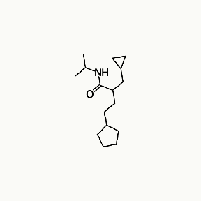 CC(C)NC(=O)C(CCC1CCCC1)CC1CC1